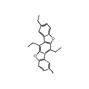 CCc1ccc2oc3c(CC)c4c(oc5ccc(C)cc54)c(CC)c3c2c1